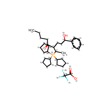 CCCCC(=O)C(CCC(O)c1ccccc1)C(C)[P+](C1CCCC1)(C1CCCC1)C1CCCC1.O=C([O-])C(F)(F)F